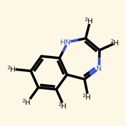 [2H]C1=NC([2H])=C([2H])Nc2cc([2H])c([2H])c([2H])c21